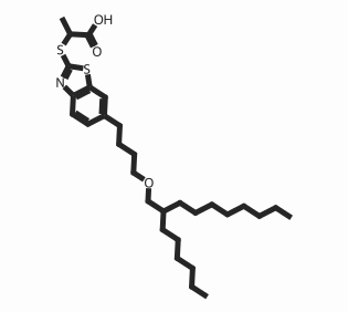 CCCCCCCCC(CCCCCC)COCCCCc1ccc2nc(SC(C)C(=O)O)sc2c1